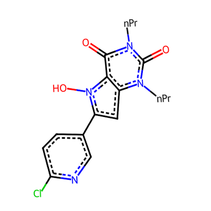 CCCn1c(=O)c2c(cc(-c3ccc(Cl)nc3)n2O)n(CCC)c1=O